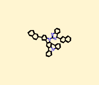 c1ccc2cc(-c3ccc4c(c3)c3cc5c6ccccc6n6c7ccccc7c(c3n4-c3nc(-c4ccc7ccccc7c4)c4ccccc4n3)c56)ccc2c1